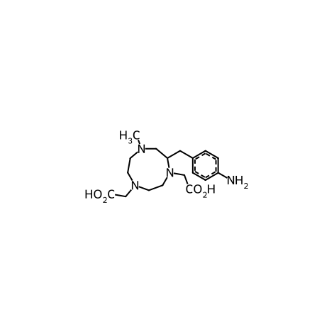 CN1CCN(CC(=O)O)CCN(CC(=O)O)C(Cc2ccc(N)cc2)C1